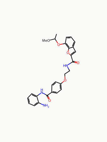 COC(C)Oc1cccc2cc(C(=O)NCCOc3ccc(C(=O)Nc4ccccc4N)cc3)oc12